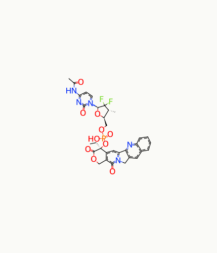 CC[C@@]1(OP(=O)(O)OC[C@H]2O[C@@H](n3ccc(NC(C)=O)nc3=O)C(F)(F)[C@@H]2C)C(=O)OCc2c1cc1n(c2=O)Cc2cc3ccccc3nc2-1